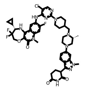 C[C@@H]1CN(c2ccc3c(C4CCC(=O)NC4=O)nn(C)c3c2)CCN1CC1CCN(c2ncc(Cl)c(Nc3cc4c5c(c(=O)n(C)c4cc3F)OCC(F)(F)[C@H](C3CC3)N5)n2)CC1